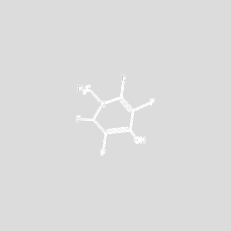 CN1C(F)=C(F)C(O)=C(F)C1F